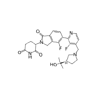 CC(C)(O)[C@@H]1CCN(Cc2ccnc(-c3ccc4c(c3F)CN(C3CCC(=O)NC3=O)C4=O)c2F)C1